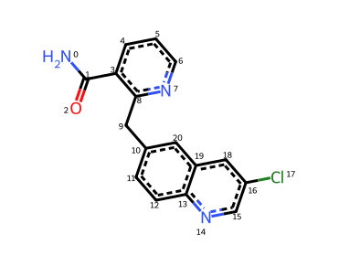 NC(=O)c1cccnc1Cc1ccc2ncc(Cl)cc2c1